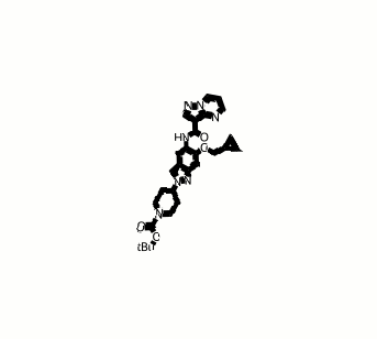 CC(C)(C)OC(=O)N1CCC(n2cc3cc(NC(=O)c4cnn5cccnc45)c(OCC4CC4)cc3n2)CC1